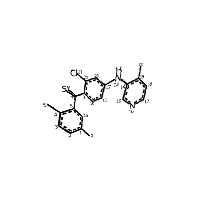 Cc1ccc(C)c(C(=S)c2ccc(Nc3cnccc3C)cc2Cl)c1